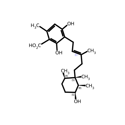 C/C(=C\Cc1c(O)cc(C)c(C(=O)O)c1O)CC[C@@]1(C)[C@H](C)CC[C@H](O)[C@@H]1C